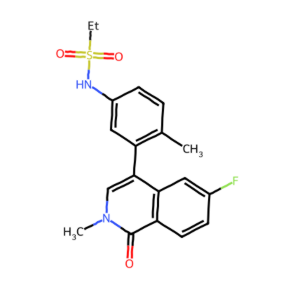 CCS(=O)(=O)Nc1ccc(C)c(-c2cn(C)c(=O)c3ccc(F)cc23)c1